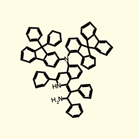 NC(/C(=C1\NC(c2ccccc2)=Cc2c1cccc2N(c1ccc2c(c1)C(C1=CCCC=C1)(c1ccccc1)c1ccccc1-2)c1cccc2c1-c1ccccc1C21c2ccccc2-c2ccccc21)c1ccccc1)c1ccccc1